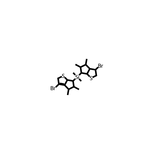 CC1C2=C(Br)CSC2C([Si](C)(C)C2C(C)C(C)C3C(Br)CSC32)C1C